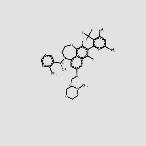 Cc1cc(N)nc(-c2c(Cl)c3c4c(nc(OC[C@H]5COCCN5C)nc4c2F)N([C@H](C)c2cccnc2N)CCO3)c1C(F)(F)F